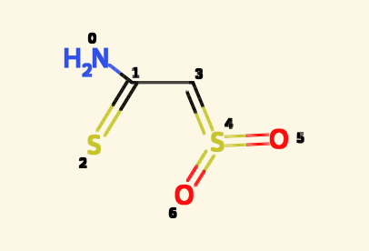 NC(=S)C=S(=O)=O